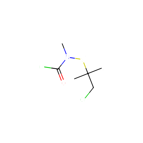 CN(SC(C)(C)CCl)C(=O)Cl